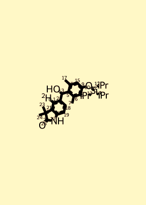 [2H]c1c(C(O)c2c(C)cc(O[Si](C(C)C)(C(C)C)C(C)C)cc2C)ccc2c1C(C)(C)C(=O)N2